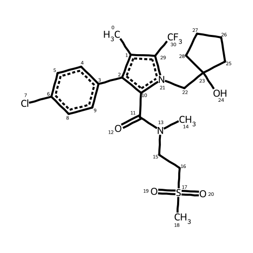 Cc1c(-c2ccc(Cl)cc2)c(C(=O)N(C)CCS(C)(=O)=O)n(CC2(O)CCCC2)c1C(F)(F)F